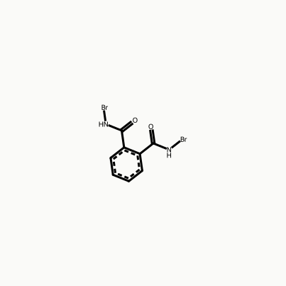 O=C(NBr)c1ccccc1C(=O)NBr